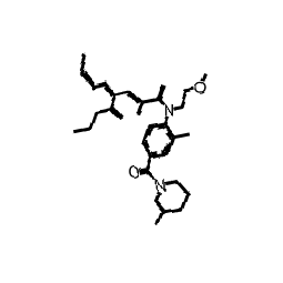 C=C(CCC)C(=C\C=C/C)/C=C(\C)C(=C)N(CCOC)c1ccc(C(=O)N2CCCC(C)C2)cc1C